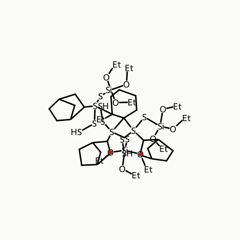 CCO[Si](OCC)(OCC)SS(SS)(C1CC2CCC1C2)C1(CC)CCCCC1(S(SS)(S[Si](OCC)(OCC)OCC)C1CC2CCC1C2)S(SS)(S[Si](OCC)(OCC)OCC)C1CC2CCC1C2